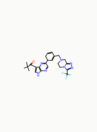 CC(C)(C)C(=O)c1c[nH]c2ncc(C3C=C(CN4CCn5c(nnc5C(F)(F)F)C4)C=CC3)nc12